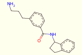 NCCCc1cccc(C(=O)NC2CCc3ccccc32)c1